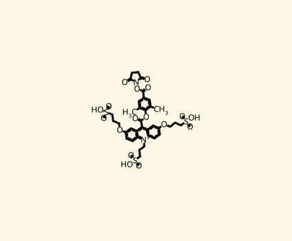 Cc1cc(C(=O)ON2C(=O)CCC2=O)cc(C)c1OC(=O)c1c2cc(OCCCS(=O)(=O)O)ccc2[n+](CCCS(=O)(=O)O)c2ccc(OCCCS(=O)(=O)O)cc12